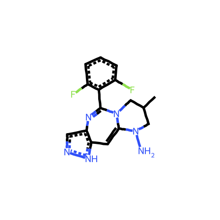 CC1CN(N)C2=Cc3[nH]ncc3N=C(c3c(F)cccc3F)N2C1